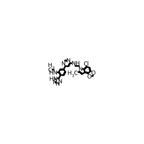 CCNc1cc(-c2cc(NCCn3c(C)cc4c5c(cc(Cl)c43)OCO5)ncn2)ccc1-c1nnn[nH]1